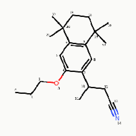 CCCOc1cc2c(cc1C(C)CC#N)C(C)(C)CCC2(C)C